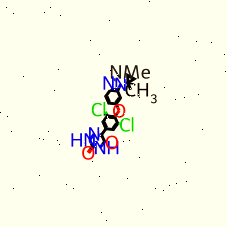 CNc1nc2ccc(Oc3c(Cl)cc(-c4n[nH]c(=O)[nH]c4=O)cc3Cl)cc2n1C1(C)CC1